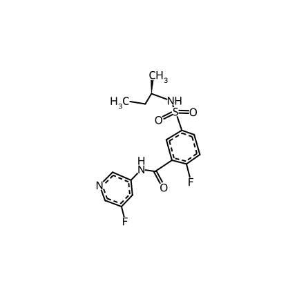 CC[C@@H](C)NS(=O)(=O)c1ccc(F)c(C(=O)Nc2cncc(F)c2)c1